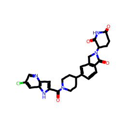 O=C1CCC(N2Cc3cc(C4CCN(C(=O)c5cc6ncc(Cl)cc6[nH]5)CC4)ccc3C2=O)C(=O)N1